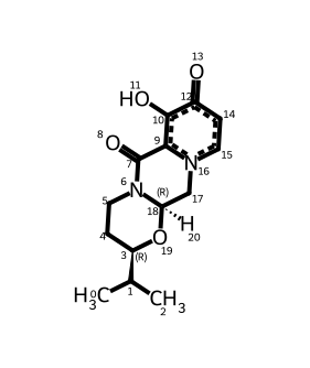 CC(C)[C@H]1CCN2C(=O)c3c(O)c(=O)ccn3C[C@H]2O1